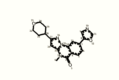 Cn1c(=O)c2ccc(-c3cnco3)cc2n2nc(C3CCOCC3)cc12